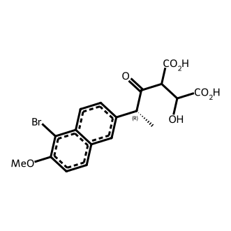 COc1ccc2cc([C@@H](C)C(=O)C(C(=O)O)C(O)C(=O)O)ccc2c1Br